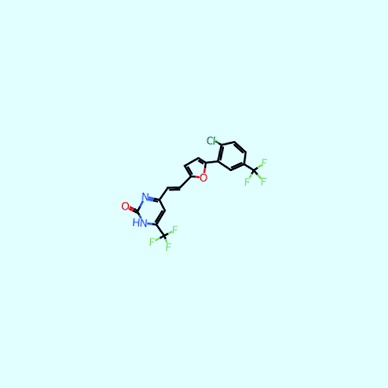 O=c1nc(C=Cc2ccc(-c3cc(C(F)(F)F)ccc3Cl)o2)cc(C(F)(F)F)[nH]1